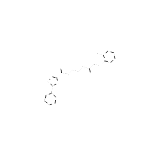 O=C(COc1ccccc1Cl)NCCNC(=O)c1nc(-c2cccc(Cl)c2)no1